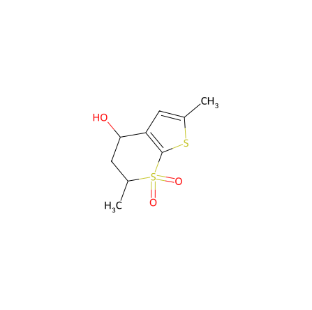 Cc1cc2c(s1)S(=O)(=O)C(C)CC2O